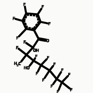 CC(F)(C(O)(F)C(=O)c1c(F)c(F)c(F)c(F)c1F)C(O)(F)C(F)(F)C(F)(F)C(F)(F)C(F)(F)F